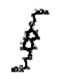 CCCCCCCCCCCCOc1ccc2nc(OCCCCCCCCCCCC)ccc2n1